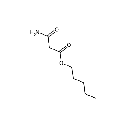 CCCCCOC(=O)CC(N)=O